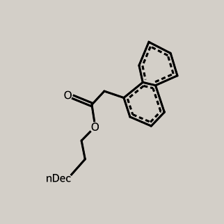 CCCCCCCCCCCCOC(=O)Cc1cccc2ccccc12